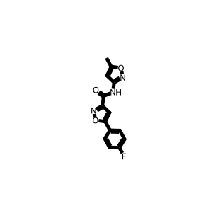 Cc1cc(NC(=O)c2cc(-c3ccc(F)cc3)on2)no1